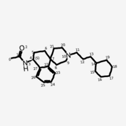 CC(=O)N[C@H]1CCC2(CCN(CCCC3CCCCC3)CC2)c2ccccc21